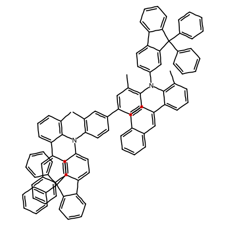 Cc1cc(-c2ccc(N(c3ccc4c(c3)C(c3ccccc3)(c3ccccc3)c3ccccc3-4)c3c(C)cccc3-c3ccc4ccccc4c3)c(C)c2)ccc1N(c1ccc2c(c1)C(c1ccccc1)(c1ccccc1)c1ccccc1-2)c1c(C)cccc1-c1ccc2ccccc2c1